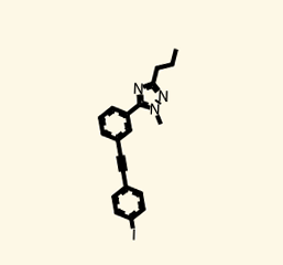 CCCc1nc(-c2cccc(C#Cc3ccc(I)cc3)c2)n(C)n1